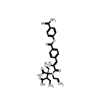 C=CCN(C(=O)/C(C)=C/c1ccc(C(=O)Oc2ccc(C(=N)N)cc2)cc1)[C@@](CC)(C(=O)O)C(CC)C(=O)O